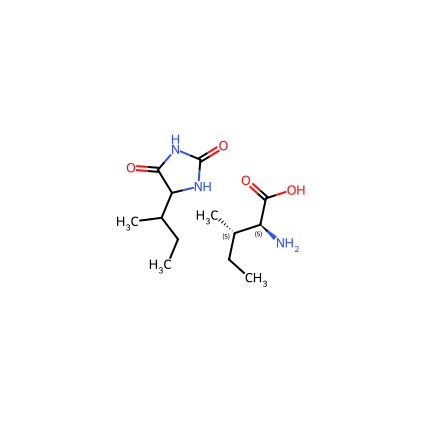 CCC(C)C1NC(=O)NC1=O.CC[C@H](C)[C@H](N)C(=O)O